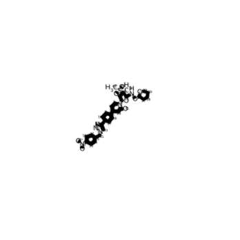 CC(CCn1ccc(-c2ccc(-c3cn(Cc4ccc([N+](=O)[O-])cc4)nn3)cc2)cc1=O)(C(=O)NOC1CCCCO1)S(C)(=O)=O